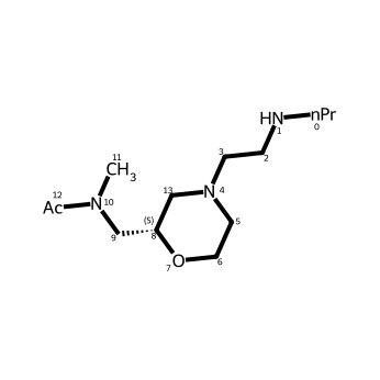 CCCNCCN1CCO[C@H](CN(C)C(C)=O)C1